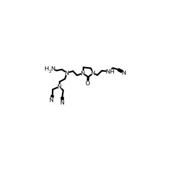 N#CCNCCN1CCN(CCN(CCN)CCN(CC#N)CC#N)C1=O